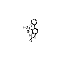 O=C1N=c2ccc(-c3ccccc3)c(S(=O)(=O)O)c2=N1